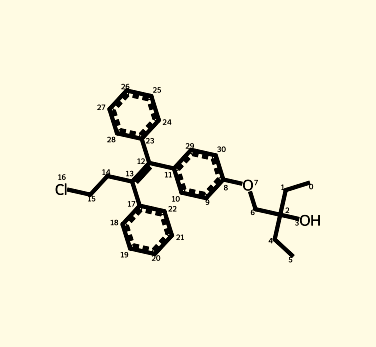 CCC(O)(CC)COc1ccc(C(=C(CCCl)c2ccccc2)c2ccccc2)cc1